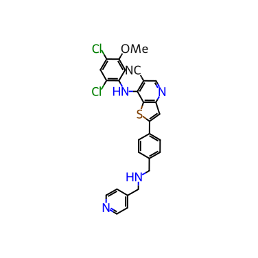 COc1cc(Nc2c(C#N)cnc3cc(-c4ccc(CNCc5ccncc5)cc4)sc23)c(Cl)cc1Cl